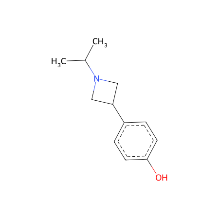 CC(C)N1CC(c2ccc(O)cc2)C1